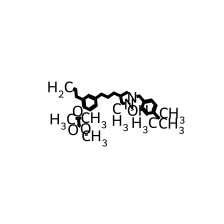 C=CCc1cc(CCCC2CN(Cc3ccc(C(C)(C)C)cc3)N(O)C2C)ccc1OC(C)(C)C(=O)OC